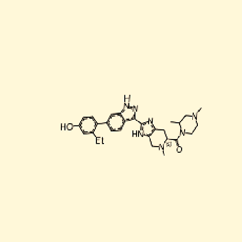 CCc1cc(O)ccc1-c1ccc2c(-c3nc4c([nH]3)CN(C)[C@H](C(=O)N3CCN(C)CC3C)C4)n[nH]c2c1